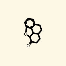 O=C1CCC2CCc3cccc4c3C2C1O4